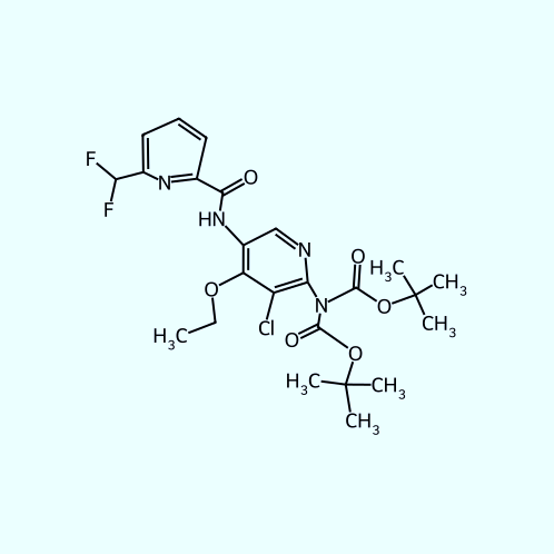 CCOc1c(NC(=O)c2cccc(C(F)F)n2)cnc(N(C(=O)OC(C)(C)C)C(=O)OC(C)(C)C)c1Cl